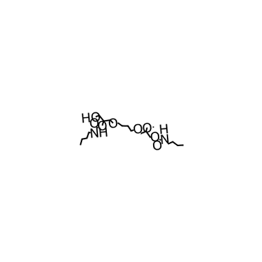 CCCCNC(=O)OCC([O])COCCCCOCC(CO)OC(=O)NCCCC